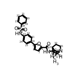 C[C@H]1[C@H](NC(=O)c2ccc(-c3ccc(NS(=O)(=O)c4ccccc4)cc3)o2)C2CCN1CC2